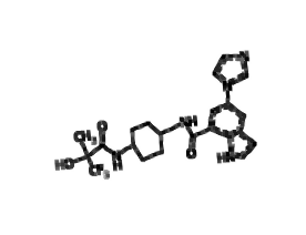 CC(O)(C(=O)NC1CCC(NC(=O)c2cc(-n3ccnc3)cc3cc[nH]c23)CC1)C(F)(F)F